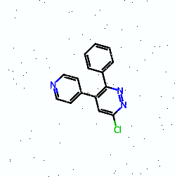 Clc1cc(-c2ccncc2)c(-c2ccccc2)nn1